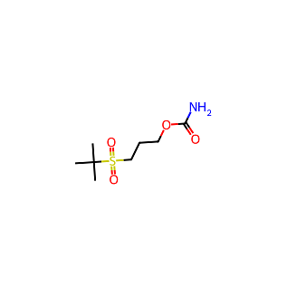 CC(C)(C)S(=O)(=O)CCCOC(N)=O